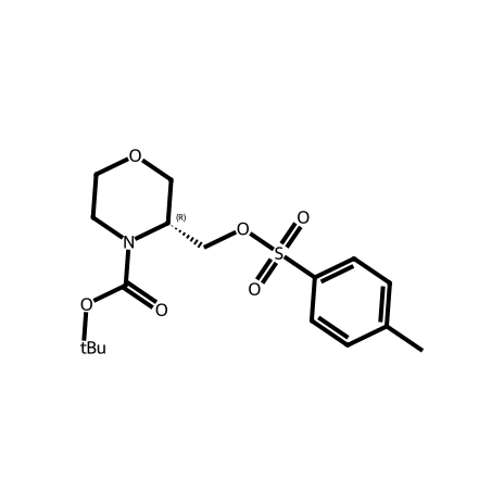 Cc1ccc(S(=O)(=O)OC[C@H]2COCCN2C(=O)OC(C)(C)C)cc1